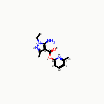 CCn1nc(C)c(C(=O)Oc2cccc(C)n2)c1N